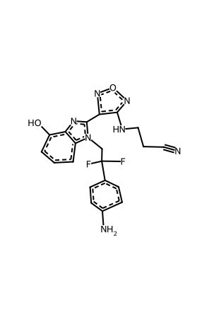 N#CCCNc1nonc1-c1nc2c(O)cccc2n1CC(F)(F)c1ccc(N)cc1